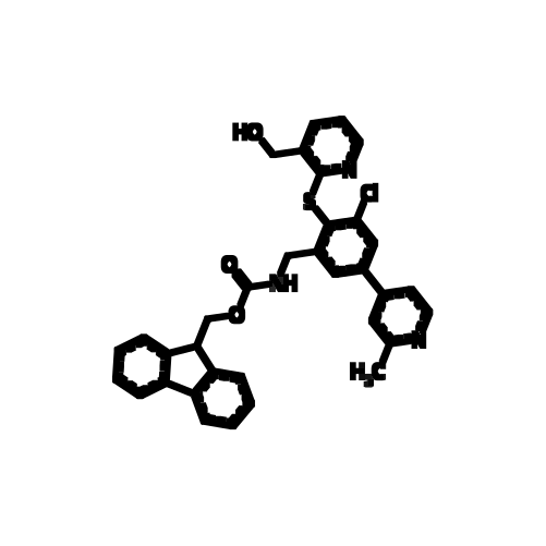 Cc1cc(-c2cc(Cl)c(Sc3ncccc3CO)c(CNC(=O)OCC3c4ccccc4-c4ccccc43)c2)ccn1